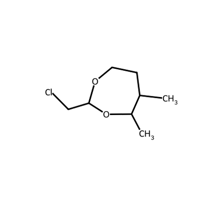 CC1CCOC(CCl)OC1C